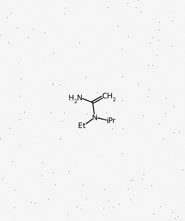 C=C(N)N(CC)C(C)C